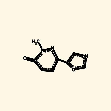 Cn1nc(-c2cnco2)ccc1=O